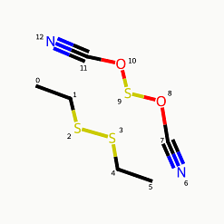 CCSSCC.N#COSOC#N